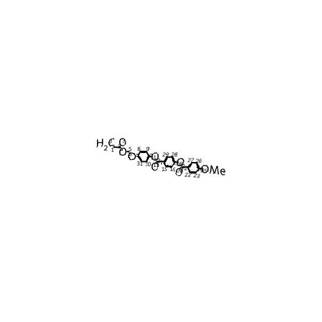 C=CC(=O)OCOc1ccc(OC(=O)c2ccc(OC(=O)c3ccc(OC)cc3)cc2)cc1